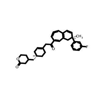 C[C@@]1(c2cccc(F)c2)C=CC2=C(C=C(C(=O)CC3=CC[C@@H](CC4CCOC(=O)C4)CC3)C=C=C2)C1